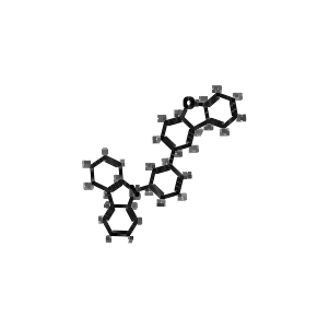 C1=Cc2c(c3ccccc3n2-c2cccc(-c3ccc4oc5ccccc5c4c3)c2)CC1